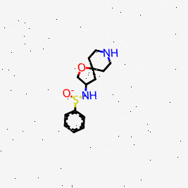 [O-][S+](NC1COC2(CCNCC2)C1)c1ccccc1